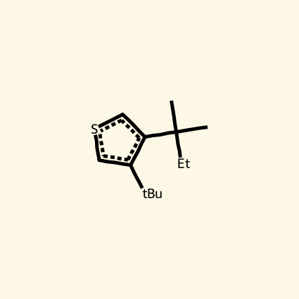 CCC(C)(C)c1cscc1C(C)(C)C